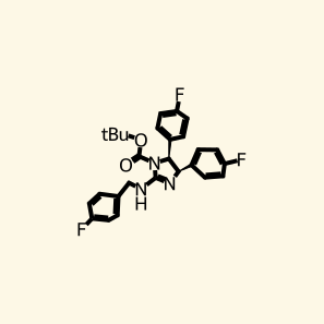 CC(C)(C)OC(=O)N1C(NCc2ccc(F)cc2)=N[C@H](c2ccc(F)cc2)[C@@H]1c1ccc(F)cc1